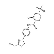 CS(=O)(=O)c1ccc(C(=O)Nc2ccc(C3CSC(CO)=N3)cc2)c(Cl)c1